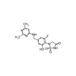 Cc1cc(NCc2cc(O)c(N3CC(=O)NS3(=O)=O)c(F)c2)nc(C)n1